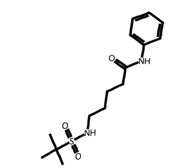 CC(C)(C)S(=O)(=O)NCCCCC(=O)Nc1ccccc1